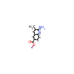 Cc1cc2cc(C(=O)OI)ccc2nc1N